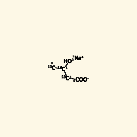 [13CH3][13CH](O)[13CH2][13C](=O)[O-].[Na+]